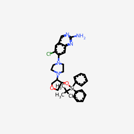 CC(C)(C)[Si](OC1COCC1N1CCN(c2cc3nc(N)ncc3cc2Cl)CC1)(c1ccccc1)c1ccccc1